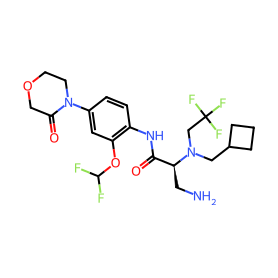 NC[C@@H](C(=O)Nc1ccc(N2CCOCC2=O)cc1OC(F)F)N(CC1CCC1)CC(F)(F)F